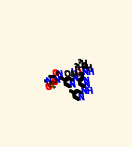 [2H]C([2H])([2H])NC(=O)c1nnc(Nc2cc(C)ccn2)cc1Nc1nccc(-c2noc(CN(C)S(C)(=O)=O)n2)c1OC